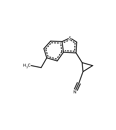 CCc1ccc2scc(C3CC3C#N)c2c1